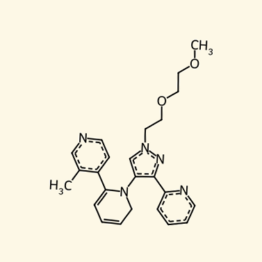 COCCOCCn1cc(N2CC=CC=C2c2ccncc2C)c(-c2ccccn2)n1